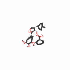 COc1cc([C@H]2OC[C@H](Cc3ccc(C)cc3)[C@@H]2COC(=O)C2CCCC2)cc(OC)c1OC